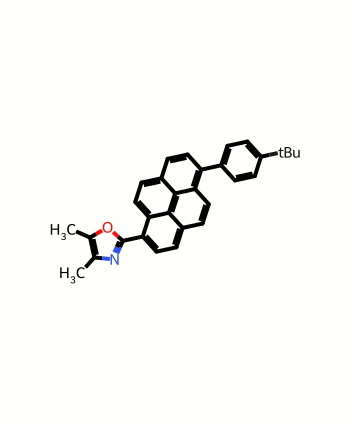 Cc1nc(-c2ccc3ccc4c(-c5ccc(C(C)(C)C)cc5)ccc5ccc2c3c54)oc1C